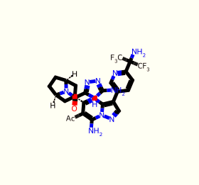 CC(=O)c1c([C@@H]2C[C@H]3CC[C@@H](C2)N3C(=O)c2nnc(N)[nH]2)nc2c(-c3ccc(C(N)(C(F)(F)F)C(F)(F)F)nc3)cnn2c1N